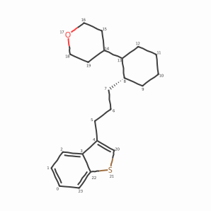 c1ccc2c(CCC[C@H]3CCCCC3C3CCOCC3)csc2c1